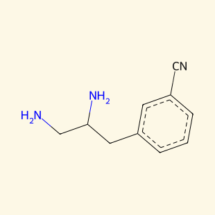 N#Cc1cccc(CC(N)CN)c1